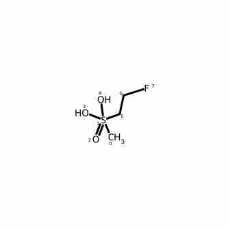 CS(=O)(O)(O)CCF